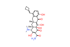 CN(C)[C@@H]1C(O)=C(C(N)=O)C(=O)[C@@]2(O)C(O)=C3C(=O)c4c(O)ccc(C=C5CCC5)c4C[C@H]3C[C@@H]12